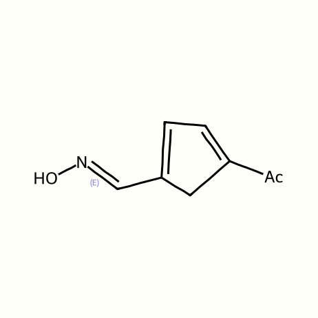 CC(=O)C1=CC=C(/C=N/O)C1